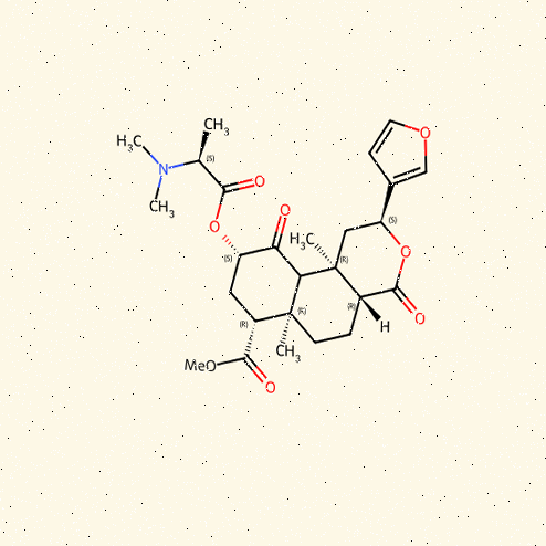 COC(=O)[C@@H]1C[C@H](OC(=O)[C@H](C)N(C)C)C(=O)C2[C@@]1(C)CC[C@H]1C(=O)O[C@H](c3ccoc3)C[C@]21C